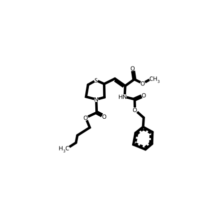 CCCCOC(=O)N1CCSC(C=C(NC(=O)OCc2ccccc2)C(=O)OC)C1